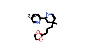 CC1(CCCC2OCCO2)C=CN=C(c2ccccn2)C1.[Ru+2]